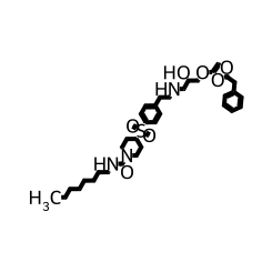 CCCCCCCCNC(=O)N1CCC(S(=O)(=O)c2ccc(CCNC[C@H](O)COC3=COC(Cc4ccccc4)O3)cc2)CC1